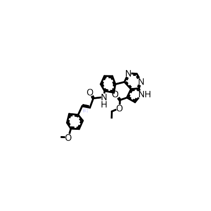 CCOC(=O)c1c[nH]c2ncnc(-c3cccc(NC(=O)/C=C/c4ccc(OC)cc4)c3)c12